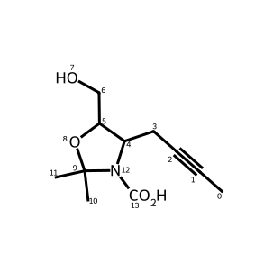 CC#CCC1C(CO)OC(C)(C)N1C(=O)O